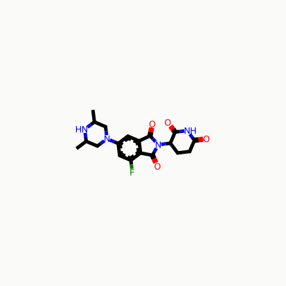 CC1CN(c2cc(F)c3c(c2)C(=O)N(C2CCC(=O)NC2=O)C3=O)CC(C)N1